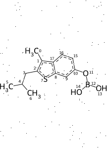 Cc1c(CC(C)C)sc2cc(OB(O)O)ccc12